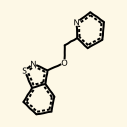 c1ccc(COc2nsc3ccccc23)nc1